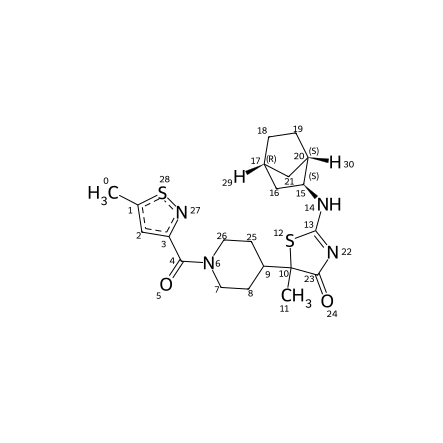 Cc1cc(C(=O)N2CCC(C3(C)SC(N[C@H]4C[C@@H]5CC[C@H]4C5)=NC3=O)CC2)ns1